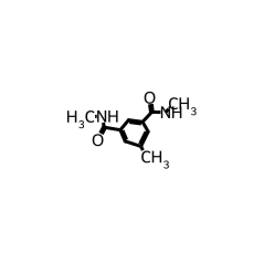 CNC(=O)c1cc(C)cc(C(=O)NC)c1